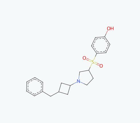 O=S(=O)(c1ccc(O)cc1)C1CCN(C2CC(Cc3ccccc3)C2)C1